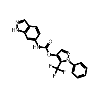 O=C(Nc1ccc2cn[nH]c2c1)Oc1cnn(-c2ccccc2)c1C(F)(F)F